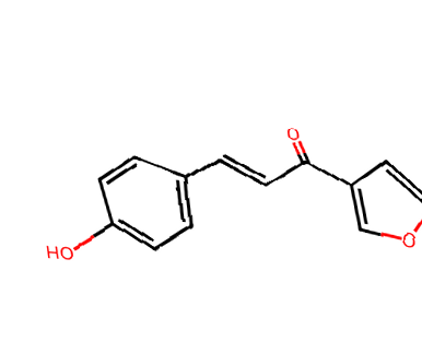 O=C(C=Cc1ccc(O)cc1)c1ccoc1